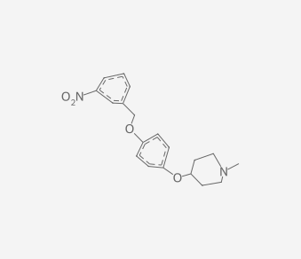 CN1CCC(Oc2ccc(OCc3cccc([N+](=O)[O-])c3)cc2)CC1